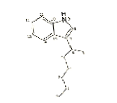 CCCCCC(C)c1c[nH]c2ccccc12